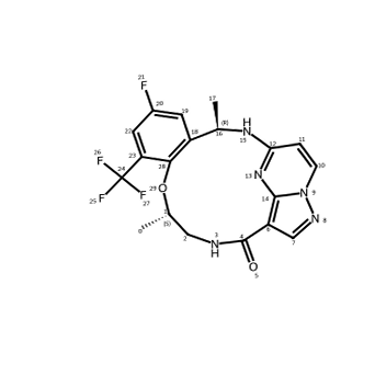 C[C@H]1CNC(=O)c2cnn3ccc(nc23)N[C@H](C)c2cc(F)cc(C(F)(F)F)c2O1